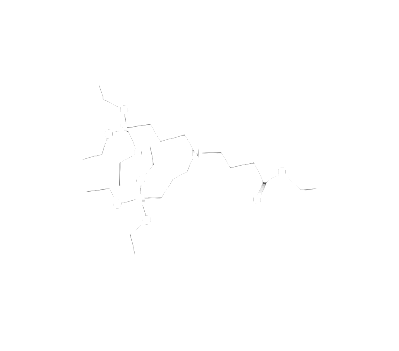 CCOC(=O)CCCN(CCC[Si](OCC)(OCC)OCC)CCC[Si](OCC)(OCC)OCC